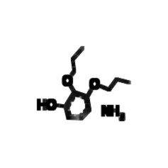 CCCOc1cccc(O)c1OCCC.N